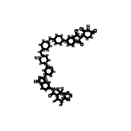 CC1=C(C(=O)Nc2ccc3[nH]nc(-c4ccnc(N5CCN(CC6CCN(CC7CCN(c8ccc9c(c8)C(=O)N(C8CCC(=O)NC8=O)C9=O)CC7)CC6)[C@@H](C)C5)c4)c3c2)C(C)(C)n2nnnc2N1C